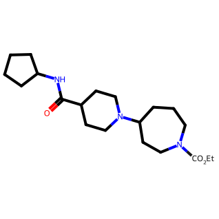 CCOC(=O)N1CCCC(N2CCC(C(=O)NC3CCCC3)CC2)CC1